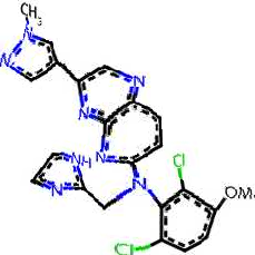 COc1ccc(Cl)c(N(Cc2ncc[nH]2)c2ccc3ncc(-c4cnn(C)c4)nc3n2)c1Cl